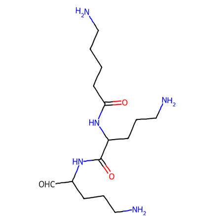 NCCCCC(=O)NC(CCCN)C(=O)NC(C=O)CCCN